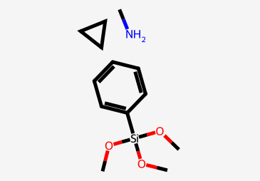 C1CC1.CN.CO[Si](OC)(OC)c1ccccc1